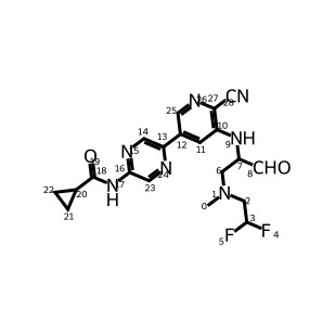 CN(CC(F)F)CC(C=O)Nc1cc(-c2cnc(NC(=O)C3CC3)cn2)cnc1C#N